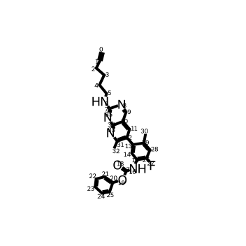 C#CCCCCNc1ncc2cc(-c3cc(NC(=O)Oc4ccccc4)c(F)cc3C)c(C)nc2n1